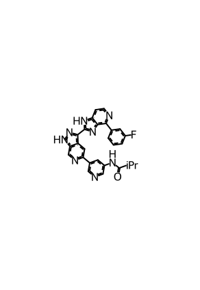 CC(C)C(=O)Nc1cncc(-c2cc3c(-c4nc5c(-c6cccc(F)c6)nccc5[nH]4)n[nH]c3cn2)c1